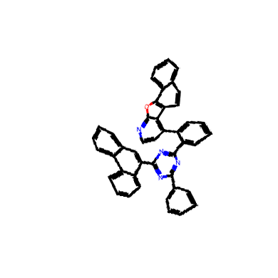 c1ccc(-c2nc(-c3ccccc3-c3ccnc4oc5c6ccccc6ccc5c34)nc(-c3cc4ccccc4c4ccccc34)n2)cc1